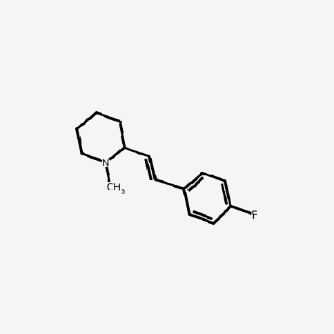 CN1CCCCC1/C=C/c1ccc(F)cc1